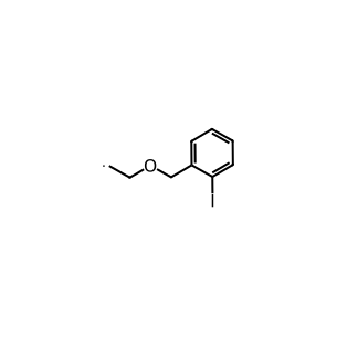 [CH2]COCc1ccccc1I